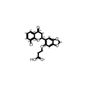 O=C(O)CCOc1cc2c(cc1C1CC(=O)c3cccc(Cl)c3O1)OCO2